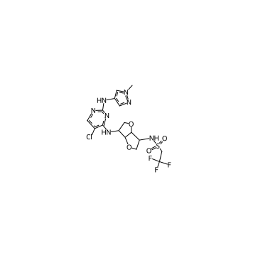 Cn1cc(Nc2ncc(Cl)c(NC3COC4C(NS(=O)(=O)CC(F)(F)F)COC34)n2)cn1